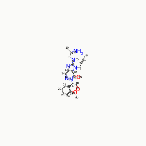 CC#CCn1c(N(C)CC(C)N)nc2cnn(C(C=O)c3ccccc3OC)c(=O)c21